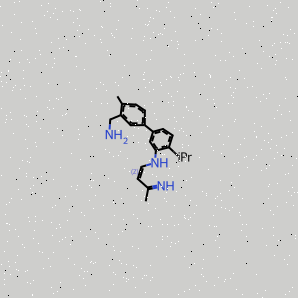 CC(=N)/C=C\Nc1cc(-c2ccc(C)c(CN)c2)ccc1C(C)C